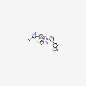 Cc1nc2ccc(-c3ccnc(N(CC45CCC(c6cc(C7CC7)nn6C)(CC4)CC5)C(=O)[C@@H]4CC5(F)CC4C5)c3)cc2s1